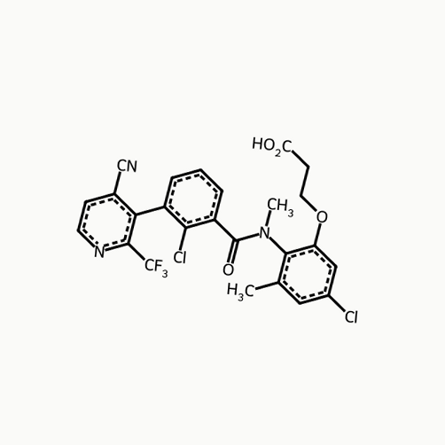 Cc1cc(Cl)cc(OCCC(=O)O)c1N(C)C(=O)c1cccc(-c2c(C#N)ccnc2C(F)(F)F)c1Cl